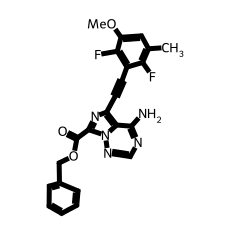 COc1cc(C)c(F)c(C#Cc2nc(C(=O)OCc3ccccc3)n3ncnc(N)c23)c1F